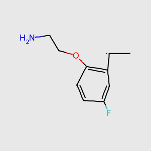 C[CH]c1cc(F)ccc1OCCN